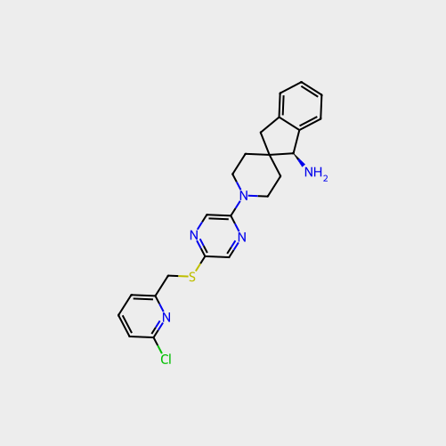 N[C@@H]1c2ccccc2CC12CCN(c1cnc(SCc3cccc(Cl)n3)cn1)CC2